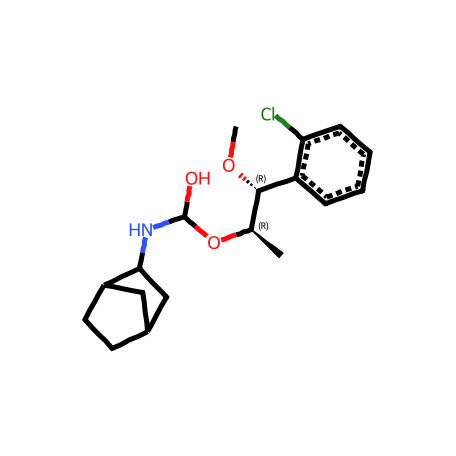 CO[C@H](c1ccccc1Cl)[C@@H](C)OC(O)NC1CC2CCC1C2